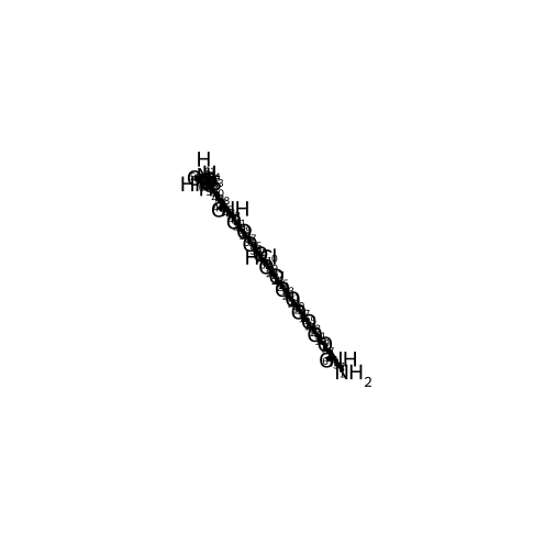 Cl.NCCNC(=O)CCOCCOCCOCCOCCOCCOCCOCCOCCOCCOCCOCCOCCNC(=O)CCCC[C@@H]1SC[C@@H]2NC(=O)N[C@@H]21